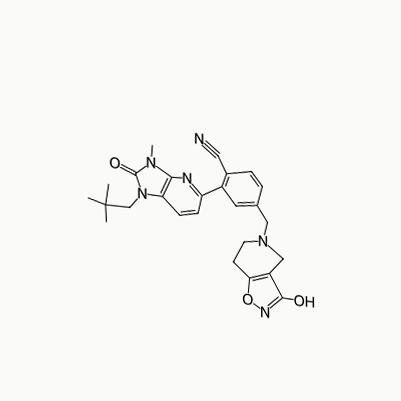 Cn1c(=O)n(CC(C)(C)C)c2ccc(-c3cc(CN4CCc5onc(O)c5C4)ccc3C#N)nc21